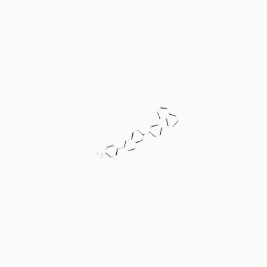 [C-]#[N+]c1ccc(-c2ccc3cc(-c4ccc5c(c4)-c4cccc6cccc-5c46)ccc3c2)cc1